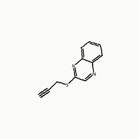 C#CCSc1cnc2ccccc2n1